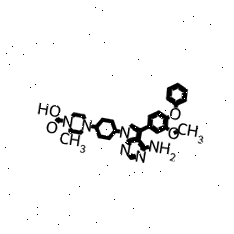 COc1cc(-c2cn(C3CCC(N4CCN(C(=O)O)C(C)C4)CC3)c3ncnc(N)c23)ccc1Oc1ccccc1